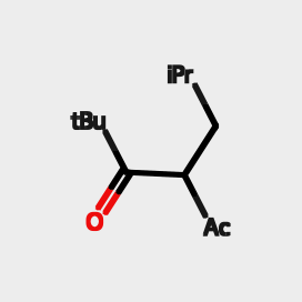 CC(=O)C(CC(C)C)C(=O)C(C)(C)C